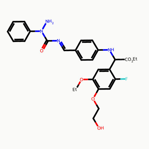 CCOC(=O)C(Nc1ccc(C=NC(=O)N(N)c2ccccc2)cc1)c1cc(OCC)c(OCCO)cc1F